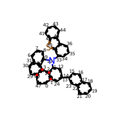 c1ccc(-c2ccccc2N(c2cc(-c3ccc4ccccc4c3)ccc2-c2ccccc2)c2cccc3c2sc2ccccc23)cc1